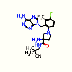 CC(C)(C#N)CNC(=O)C1(N)CCN(c2ccc(F)c(C(F)(F)F)c2Cn2cnc3c(N)ncnc32)C1